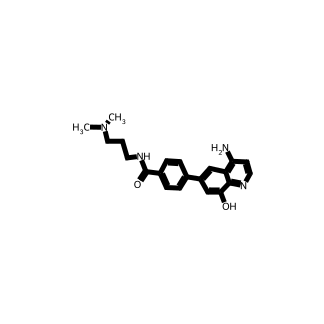 CN(C)CCCNC(=O)c1ccc(-c2cc(O)c3nccc(N)c3c2)cc1